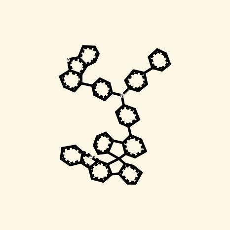 c1ccc(-c2ccc(N(c3ccc(-c4cccc5c4-c4ccccc4C54c5ccccc5-c5ccc6c(sc7ccccc76)c54)cc3)c3ccc(-c4cccc5sc6ccccc6c45)cc3)cc2)cc1